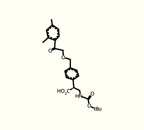 Cc1ccc(C(=O)COCc2ccc([C@@H](CNC(=O)OC(C)(C)C)C(=O)O)cc2)c(C)c1